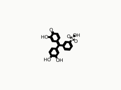 O=C1C=C/C(=C(\c2cccc(S(=O)(=O)O)c2)c2ccc(O)c(O)c2)C=C1O